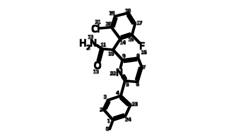 Cc1ccc(-c2cccc(C(C(N)=O)c3c(F)cccc3Cl)n2)cc1